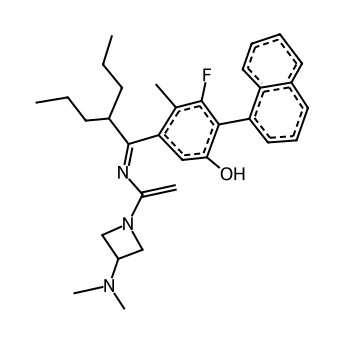 C=C(/N=C(\c1cc(O)c(-c2cccc3ccccc23)c(F)c1C)C(CCC)CCC)N1CC(N(C)C)C1